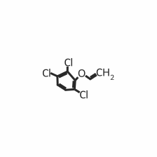 C=COc1c(Cl)ccc(Cl)c1Cl